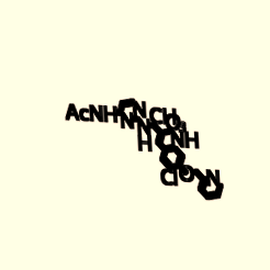 CC(=O)Nc1ccnc(NC(C)c2cc3cc(Cl)c(OCc4ccccn4)cc3[nH]c2=O)n1